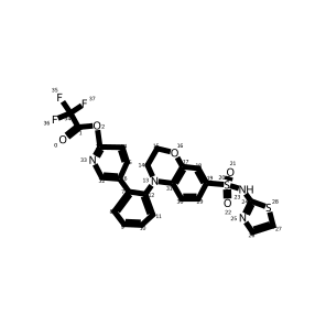 O=C(Oc1ccc(-c2ccccc2N2CCOc3cc(S(=O)(=O)Nc4nccs4)ccc32)cn1)C(F)(F)F